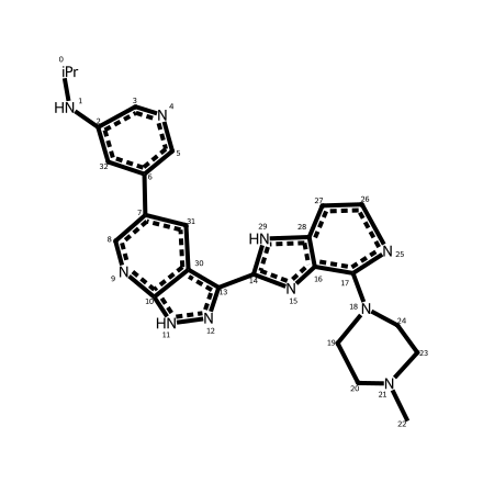 CC(C)Nc1cncc(-c2cnc3[nH]nc(-c4nc5c(N6CCN(C)CC6)nccc5[nH]4)c3c2)c1